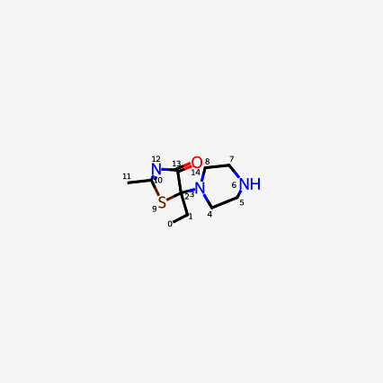 CCC1(N2CCNCC2)SC(C)=NC1=O